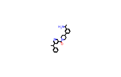 CC(N)c1cccc(C2CCN(C(=O)c3cncc(C(C)c4ccccc4)c3)CC2)c1